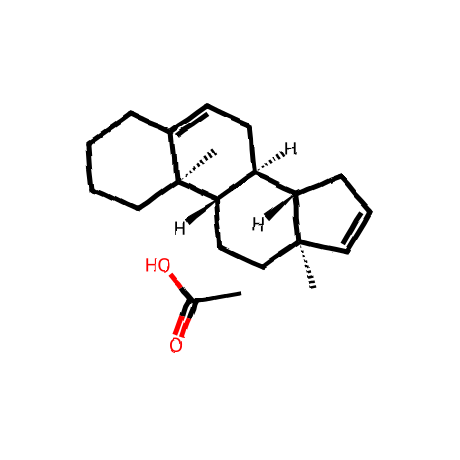 CC(=O)O.C[C@@]12C=CC[C@H]1[C@@H]1CC=C3CCCC[C@]3(C)[C@H]1CC2